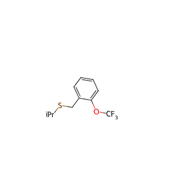 CC(C)SCc1ccccc1OC(F)(F)F